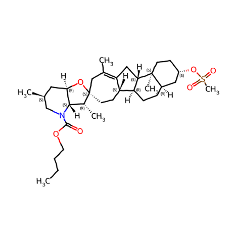 CCCCOC(=O)N1C[C@@H](C)C[C@H]2O[C@]3(CC[C@@H]4C(=C(C)C3)C[C@H]3[C@H]4CC[C@@H]4C[C@@H](OS(C)(=O)=O)CC[C@@]43C)[C@H](C)[C@@H]21